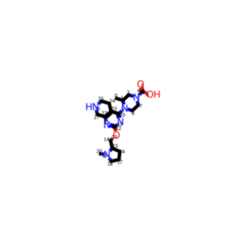 CC1CN(C(=O)O)CCN1c1nc(OCC2CCCN2C)nc2c1CCNC2